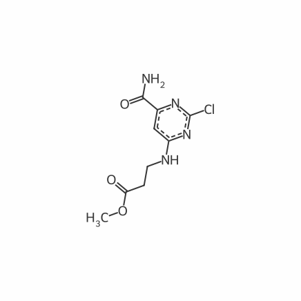 COC(=O)CCNc1cc(C(N)=O)nc(Cl)n1